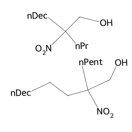 CCCCCCCCCCC(CO)(CCC)[N+](=O)[O-].CCCCCCCCCCCCC(CO)(CCCCC)[N+](=O)[O-]